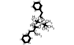 CC(C)(C)[Si](OCCc1ccccc1)(OC(=O)[C@@H](N)Cc1ccccc1)C(C)(C)C